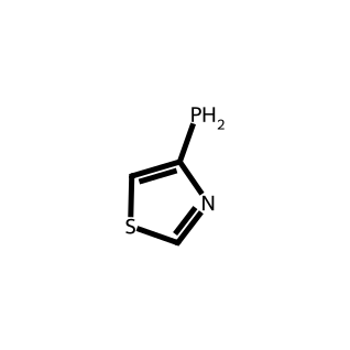 Pc1cscn1